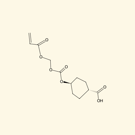 C=CC(=O)OCOC(=O)O[C@H]1CC[C@H](C(=O)O)CC1